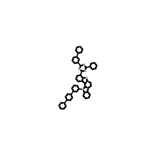 c1ccc(-c2ccc(-c3cccc(-n4c5ccccc5c5ccc6oc7c(-c8nc(-c9ccccc9)nc(-c9cccc(-c%10ccccc%10)c9)n8)cccc7c6c54)c3)cc2)cc1